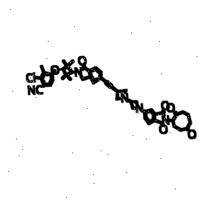 Cc1c(O[C@H]2C(C)(C)[C@H](N3Cc4cc(C#CC5CN(C6CN(c7ccc8c(c7)C(=O)N(C7CCC(=O)CCCC7=O)C8=O)C6)C5)ccc4C3=O)C2(C)C)ccc(C#N)c1Cl